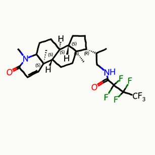 CC(CNC(=O)C(F)(F)C(F)(F)C(F)(F)F)[C@H]1CC[C@H]2[C@@H]3CCC4N(C)C(=O)C=C[C@]4(C)[C@H]3CC[C@]12C